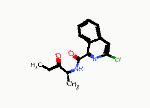 CCC(=O)[C@H](C)NC(=O)c1nc(Cl)cc2ccccc12